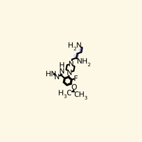 CC(C)Oc1ccc(C(=N)N=N)c(N2CCN(C/C(N)=C/C=C\N)CC2)c1F